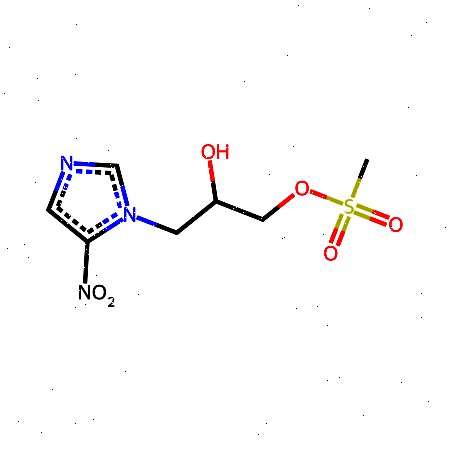 CS(=O)(=O)OCC(O)Cn1cncc1[N+](=O)[O-]